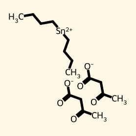 CC(=O)CC(=O)[O-].CC(=O)CC(=O)[O-].CCC[CH2][Sn+2][CH2]CCC